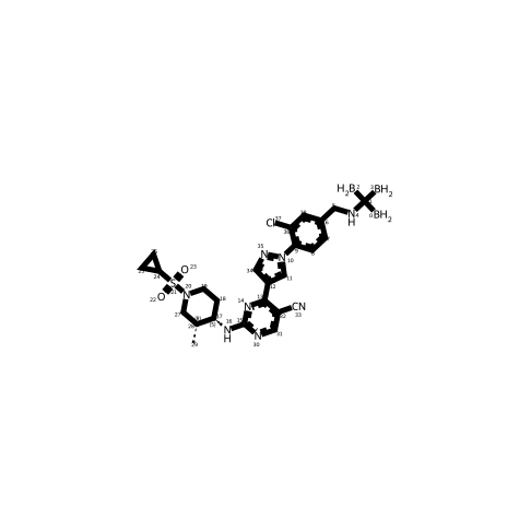 BC(B)(B)NCc1ccc(-n2cc(-c3nc(N[C@H]4CCN(S(=O)(=O)C5CC5)C[C@H]4C)ncc3C#N)cn2)c(Cl)c1